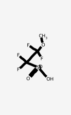 COC(F)(F)C(F)(F)S(=O)(=O)O